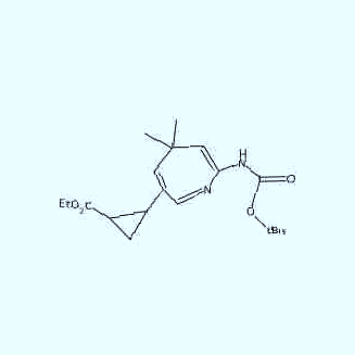 CCOC(=O)C1CC1C1=CC(C)(C)C=C(NC(=O)OC(C)(C)C)N=C1